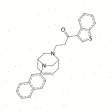 O=C(CCN1CC2C/C=C\CC1CN2c1ccc2ccccc2c1)c1csc2ccccc12